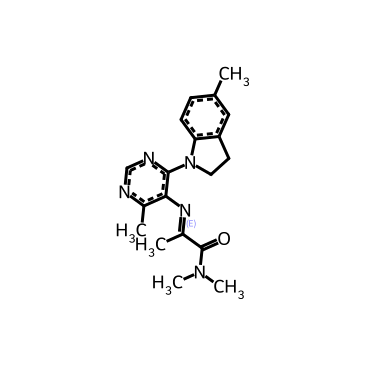 C/C(=N\c1c(C)ncnc1N1CCc2cc(C)ccc21)C(=O)N(C)C